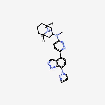 CN(c1ccc(-c2ccc(-n3cccn3)c3[nH]ncc23)nn1)C1C[C@H]2CCC[C@@H](C1)N2